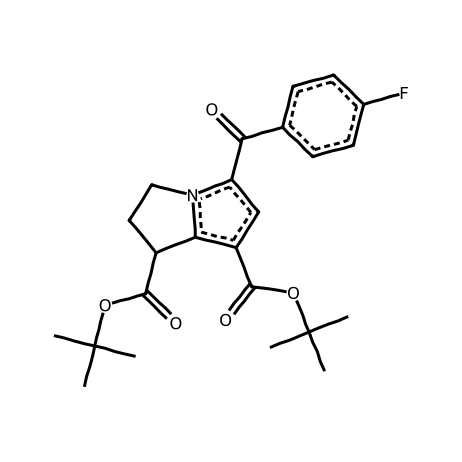 CC(C)(C)OC(=O)c1cc(C(=O)c2ccc(F)cc2)n2c1C(C(=O)OC(C)(C)C)CC2